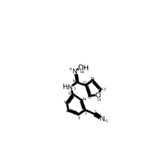 N#Cc1cccc(N/C(=N/O)c2ccoc2)c1